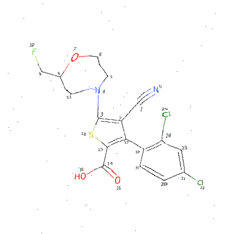 N#Cc1c(N2CCOC(CF)C2)sc(C(=O)O)c1-c1ccc(Cl)cc1Cl